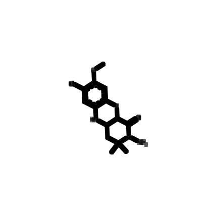 COc1cc2c(cc1Cl)NC1CC(C)(C)N(N)C(=O)C1S2